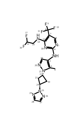 Cc1c(Nc2ncc(C(F)(F)F)c(NCC(F)F)n2)cnn1[C@H]1C[C@H](n2nccn2)C1